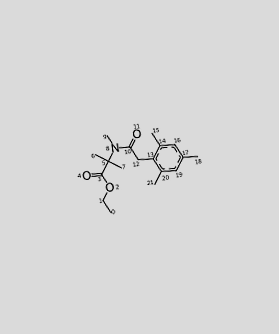 CCOC(=O)C(C)(C)N(C)C(=O)Cc1c(C)cc(C)cc1C